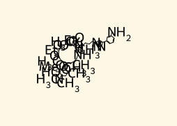 CCC1C(=O)O[C@@H](CC)[C@@]2(C)OC(=O)N(CCCCn3cc(-c4cccc(N)c4)nn3)[C@@H]2[C@@H](C)NC[C@H](C)C[C@@](C)(OC)[C@H](O[C@@H]2O[C@H](C)CC(N(C)C)C2O)[C@H](C)C1=O